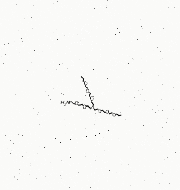 CCCOCCOCCOCCN(CCOCCOCCN)CCOCCOCCOCCC